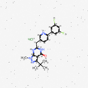 Cl.Cn1nc(C(C)(C)C)c2c(=O)[nH]c(Cc3ccc(-c4cc(F)cc(F)c4)nc3)nc21